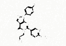 COc1ccc(-c2nc3c(cnn3-c3ccc(F)cc3)c(=O)n2CCCl)cn1